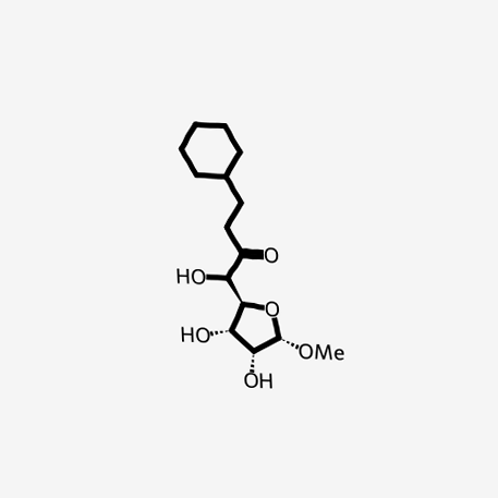 CO[C@H]1O[C@H](C(O)C(=O)CCC2CCCCC2)[C@@H](O)[C@H]1O